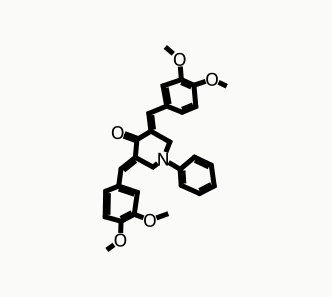 COc1ccc(C=C2CN(c3ccccc3)CC(=Cc3ccc(OC)c(OC)c3)C2=O)cc1OC